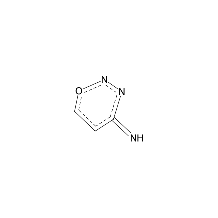 N=c1cconn1